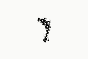 COC(=O)CCCCCCc1ccc(S(=O)(=O)Nc2c(C)cc(F)cc2C)cc1